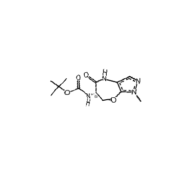 Cn1ncc2c1OC[C@H](NC(=O)OC(C)(C)C)C(=O)N2